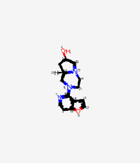 O[C@@H]1C[C@H]2CN(c3nccc4occc34)CCN2C1